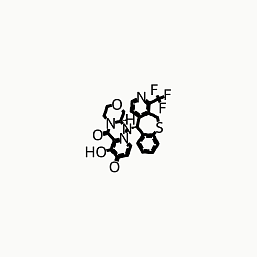 O=C1c2c(O)c(=O)ccn2N([C@@H]2c3ccccc3SCc3c2ccnc3C(F)(F)F)[C@@H]2COCCN12